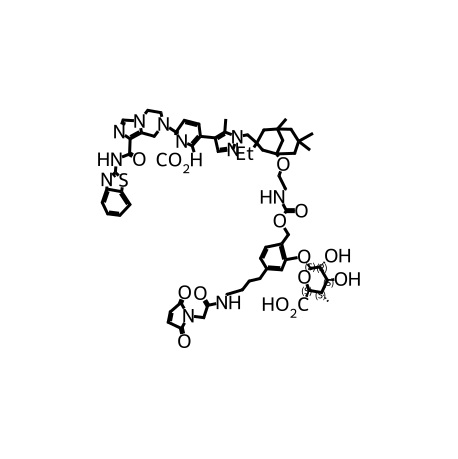 CCC1(Cn2ncc(-c3ccc(N4CCn5cnc(C(=O)Nc6nc7ccccc7s6)c5C4)nc3C(=O)O)c2C)CC2(C)CC(C)(C)CC(OCCNC(=O)OCc3ccc(CCCCNC(=O)CN4C(=O)C=CC4=O)cc3O[C@@H]3O[C@H](C(=O)O)[C@@H](C)[C@H](O)[C@H]3O)(C2)C1